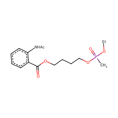 CCOP(C)(=O)OCCCCOC(=O)c1ccccc1NC(C)=O